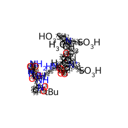 CC(C)(C)OC(=O)n1cc(CC(NC(=O)CCCCCCCNC(=O)CCc2ccc(OC3=C(C=CC4=[N+](CCCCS(=O)(=O)O)c5ccc(S(=O)(=O)[O-])cc5C4(C)C)CCCC3=CC=C3N(CCCCS(=O)(=O)O)c4ccc(S(=O)(=O)O)cc4C3(C)C)cc2)C(=O)Nc2nnc(S(N)(=O)=O)s2)c2ccccc21